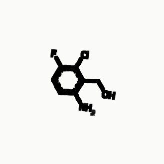 Nc1ccc(F)c(Cl)c1CO